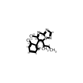 CCC(C)c1c(-c2c(F)cccc2Cl)c(Cl)nc2ncnn12